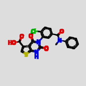 CN(C(=O)c1ccc(Cl)c(-n2c(=O)[nH]c3scc(C(=O)O)c3c2=O)c1)c1ccccc1